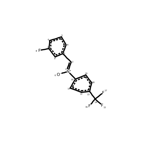 [O-][N+](=Cc1cccc(F)c1)c1ccc(C(F)(F)F)cc1